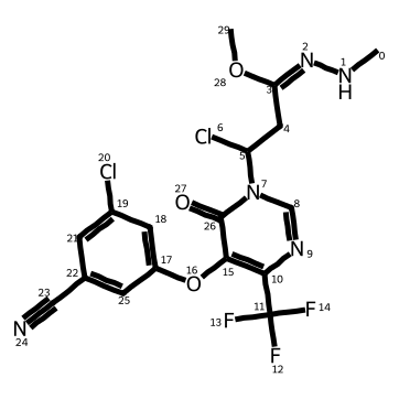 CN/N=C(\CC(Cl)n1cnc(C(F)(F)F)c(Oc2cc(Cl)cc(C#N)c2)c1=O)OC